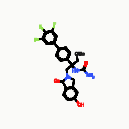 COCC(CN1Cc2cc(O)ccc2C1=O)(NC(N)=O)c1ccc(-c2cc(F)c(F)c(F)c2)cc1